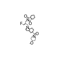 COC1CCN(C(=O)c2ccc3c(ccn3CC(=CF)CN3C(=O)c4ccccc4C3=O)c2)CC1